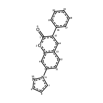 O=c1oc2cc(-n3cccn3)ccc2cc1-c1ccccc1